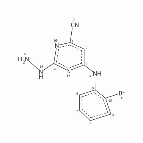 N#Cc1cc(Nc2ccccc2Br)nc(NN)n1